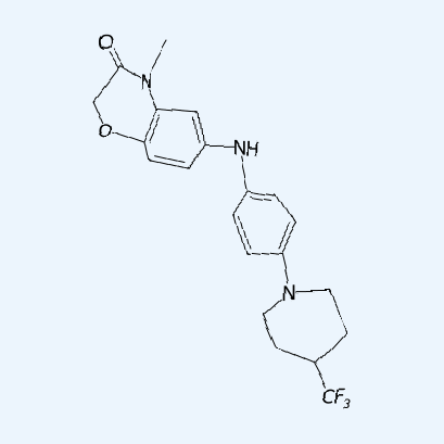 CN1C(=O)COc2ccc(Nc3ccc(N4CCC(C(F)(F)F)CC4)cc3)cc21